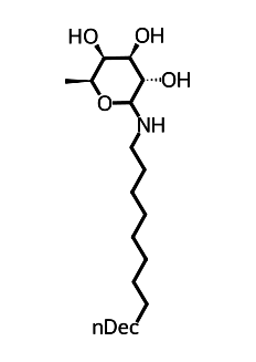 CCCCCCCCCCCCCCCCCCNC1O[C@@H](C)[C@@H](O)[C@@H](O)[C@@H]1O